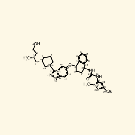 CN(CCO)C[C@@H]1CCCN(c2nnc3ccc(O[C@@H]4CC[C@H](NC(=O)Nc5cc(C(C)(C)C)nn5C)c5ccccc54)cn23)C1